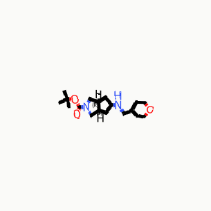 CC(C)(C)OC(=O)N1C[C@H]2CC(NCC3CCOCC3)C[C@H]2C1